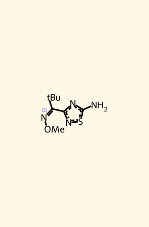 CO/N=C(\c1nsc(N)n1)C(C)(C)C